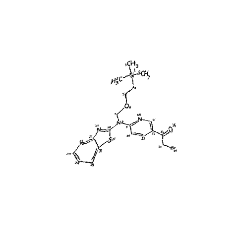 C[Si](C)(C)CCOCN(c1ccc(C(=O)CBr)cn1)c1nc2ccccc2s1